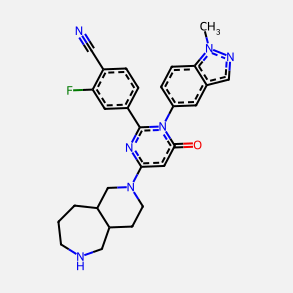 Cn1ncc2cc(-n3c(-c4ccc(C#N)c(F)c4)nc(N4CCC5CNCCCC5C4)cc3=O)ccc21